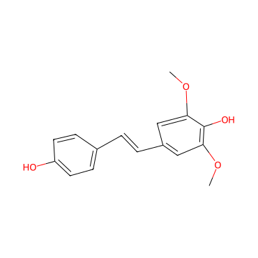 COc1cc(/C=C/c2ccc(O)cc2)cc(OC)c1O